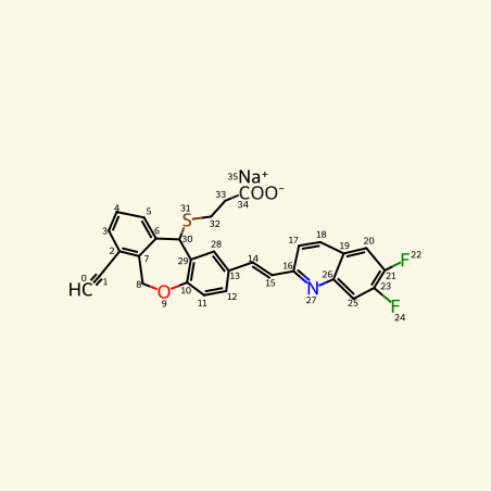 C#Cc1cccc2c1COc1ccc(/C=C/c3ccc4cc(F)c(F)cc4n3)cc1C2SCCC(=O)[O-].[Na+]